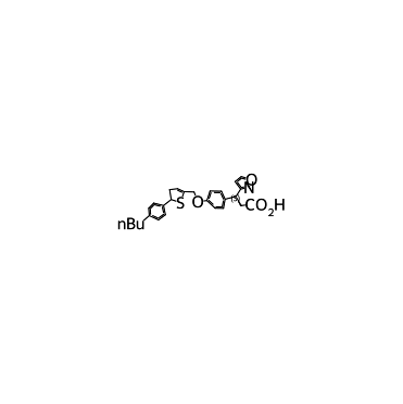 CCCCc1ccc(C2CC=C(COc3ccc([C@H](CC(=O)O)c4ccon4)cc3)S2)cc1